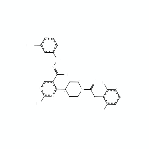 C/C(=N\Oc1cccc(C)c1)c1cnc(C)nc1C1CCN(C(=O)Cc2c(F)cccc2F)CC1